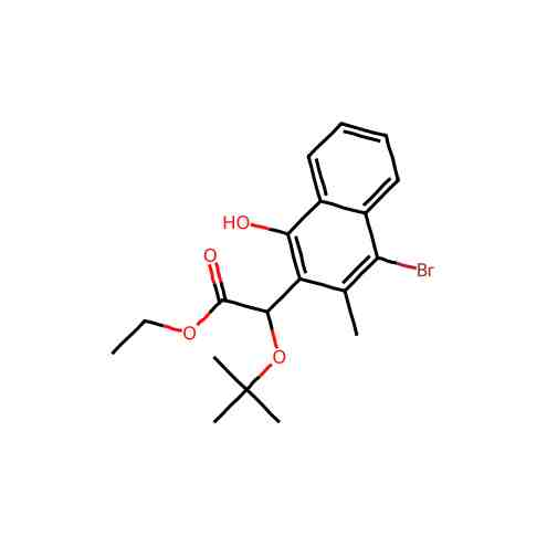 CCOC(=O)C(OC(C)(C)C)c1c(C)c(Br)c2ccccc2c1O